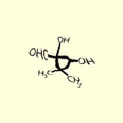 CC1(C)C(O)C1(O)[C]=O